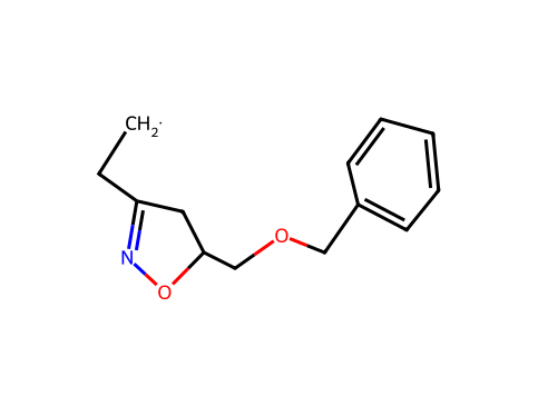 [CH2]CC1=NOC(COCc2ccccc2)C1